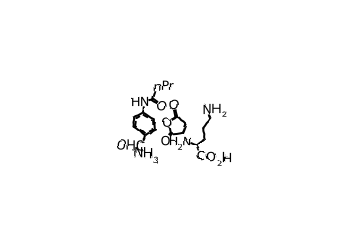 CCCC(=O)Nc1ccc(C=O)cc1.N.NCCC[C@H](N)C(=O)O.O=C1CCC(=O)O1